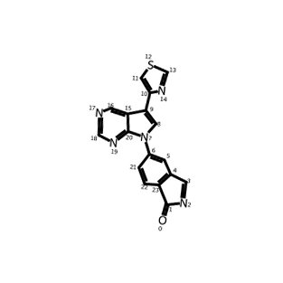 O=C1N=Cc2cc(-n3cc(-c4cscn4)c4cncnc43)ccc21